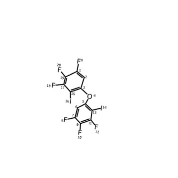 Fc1cc(Oc2cc(F)c(F)c(F)c2I)c(I)c(F)c1F